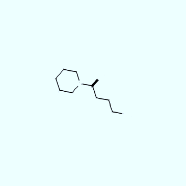 CCCCC(=O)N1[CH]CCCC1